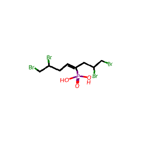 O=P(O)(O)C(=CCC(Br)CBr)CC(Br)CBr